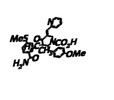 COc1ccc(CC2N(C(=O)O)CC(=Cc3ccccn3)C(=O)C2(C)C)cc1.CSc1ccc(C(N)=O)cc1